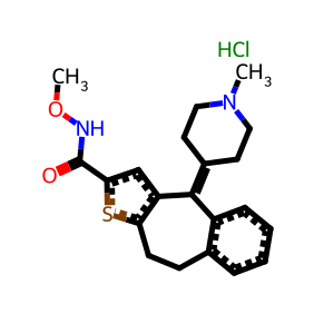 CONC(=O)c1cc2c(s1)CCc1ccccc1C2=C1CCN(C)CC1.Cl